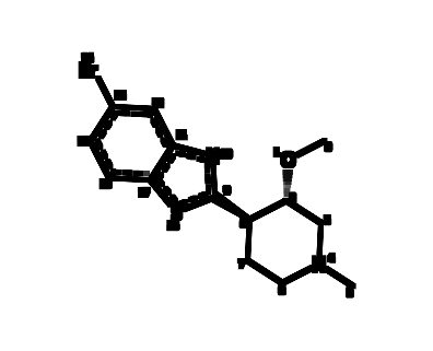 CO[C@@H]1CN(C)CC[C@H]1c1nc2cc(Br)ccc2s1